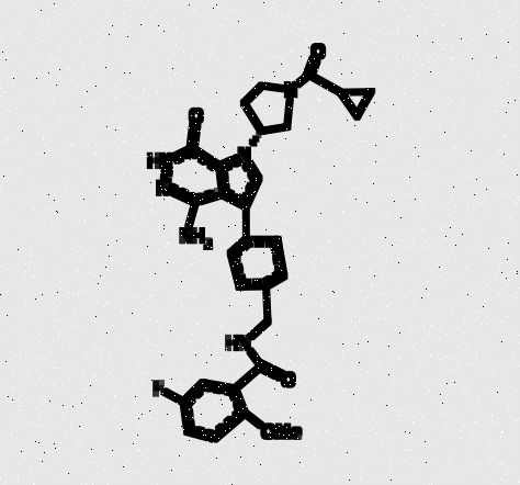 COc1ccc(F)cc1C(=O)NCc1ccc(-c2cn([C@@H]3CCN(C(=O)C4CC4)C3)c3c(=O)[nH]nc(N)c23)cc1